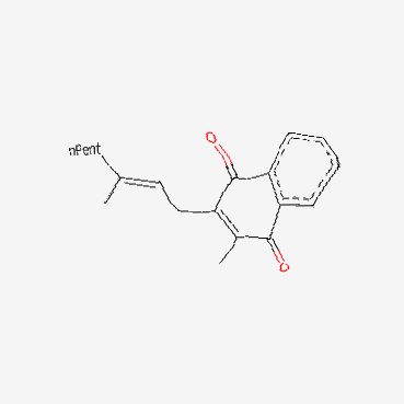 CCCCC/C(C)=C/CC1=C(C)C(=O)c2ccccc2C1=O